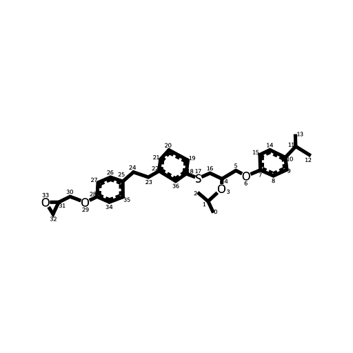 CC(C)OC(COc1ccc(C(C)C)cc1)CSc1cccc(CCc2ccc(OCC3CO3)cc2)c1